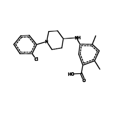 Cc1cc(C)c(C(=O)O)cc1NC1CCN(c2ccccc2Cl)CC1